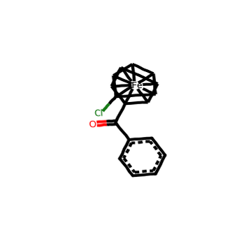 O=C(c1ccccc1)[C]12[CH]3[CH]4[CH]5[CH]1[Fe]45321678[CH]2[CH]1[CH]6[C]7(Cl)[CH]28